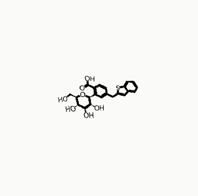 O=C(O)c1ccc(Cc2cc3ccccc3s2)cc1[C@@H]1O[C@H](CO)[C@@H](O)[C@H](O)[C@H]1O